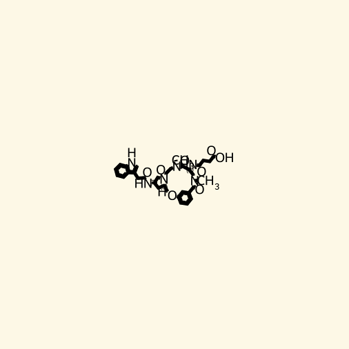 CN1C[C@H](NC(=O)CCC(=O)O)C(=O)N(C)CC(=O)N2C[C@H](NC(=O)Cc3c[nH]c4ccccc34)C[C@H]2COc2cccc(c2)C1=O